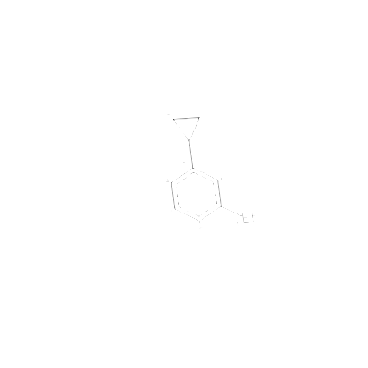 CCc1c[c]cc(C2CC2)c1